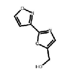 OCc1cnc(-c2ccon2)o1